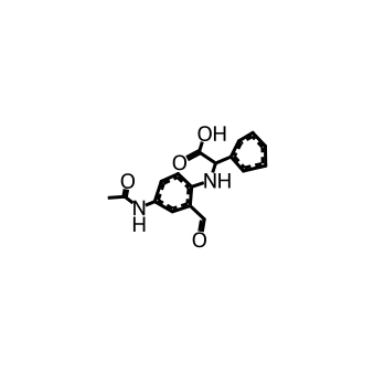 CC(=O)Nc1ccc(NC(C(=O)O)c2ccccc2)c(C=O)c1